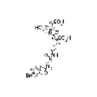 CN(CCC(=O)NCCCC[C@H](OC(=O)N[C@@H](CCC(=O)O)C(=O)O)C(=O)O)C(=O)Cc1ccc(Br)cc1